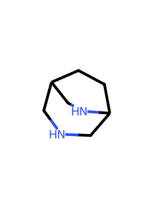 C1CC2CNCC1CN2